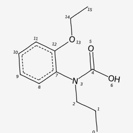 CCCN(C(=O)O)c1ccccc1OCC